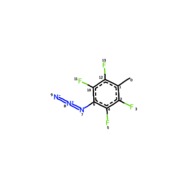 Cc1c(F)c(F)c(N=[N+]=[N-])c(F)c1F